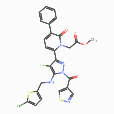 COC(=O)Cn1c(-c2nn(C(=O)c3cnsc3)c(NCc3ccc(Cl)s3)c2F)ccc(-c2ccccc2)c1=O